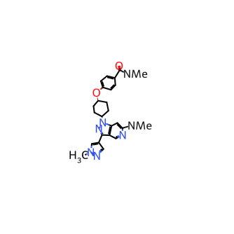 CNC(=O)c1ccc(O[C@H]2CC[C@@H](n3nc(-c4cnn(C)c4)c4cnc(NC)cc43)CC2)cc1